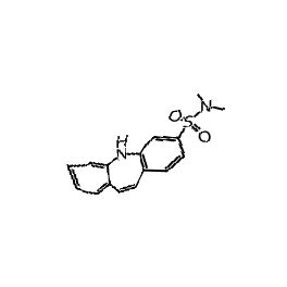 CN(C)S(=O)(=O)c1ccc2c(c1)Nc1ccccc1C=C2